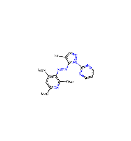 CNc1cc(NC)c(/N=N/c2c(C#N)cnn2-c2ncccn2)c(NC)n1